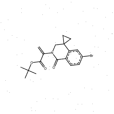 C=C(C(=O)OC(C)(C)C)N1CC2(CC2)c2cc(Br)ccc2C1=O